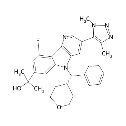 Cc1nnn(C)c1-c1cnc2c3c(F)cc(C(C)(C)O)cc3n([C@H](c3ccccc3)C3CCOCC3)c2c1